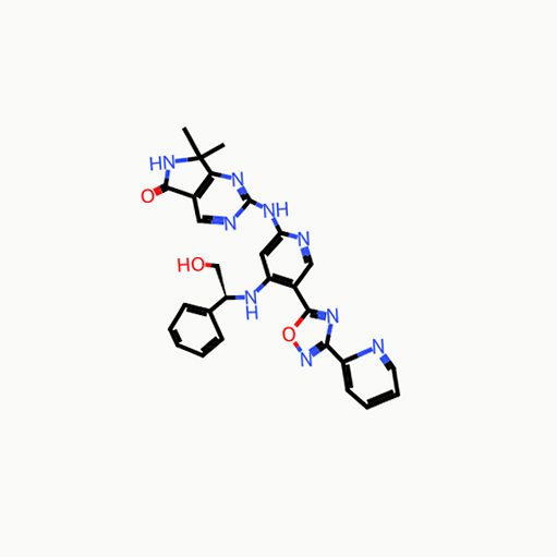 CC1(C)NC(=O)c2cnc(Nc3cc(N[C@H](CO)c4ccccc4)c(-c4nc(-c5ccccn5)no4)cn3)nc21